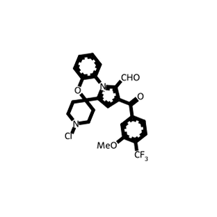 COc1cc(C(=O)c2cc3n(c2C=O)-c2ccccc2OC32CCN(Cl)CC2)ccc1C(F)(F)F